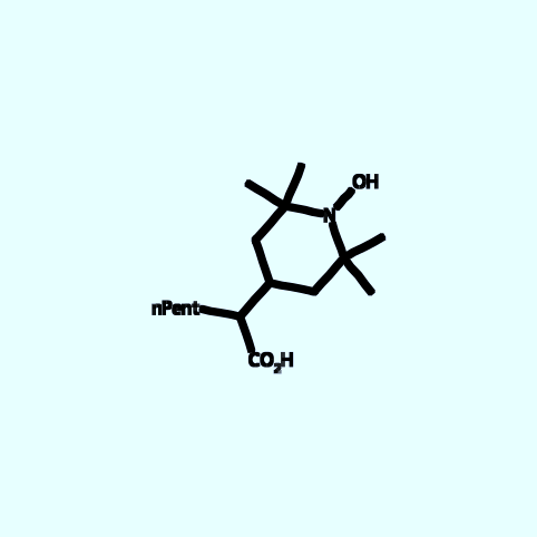 CCCCCC(C(=O)O)C1CC(C)(C)N(O)C(C)(C)C1